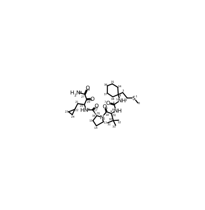 CSCCC1(NC(=O)N[C@H](C(=O)N2CCC[C@H]2C(=O)NC(CC2CC2)C(=O)C(N)=O)C(C)(C)C)CCCCC1